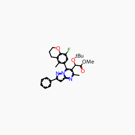 COC(=O)C(OC(C)(C)C)c1c(C)nc2cc(-c3ccccc3)nn2c1-c1cc(F)c2c(c1C)CCCO2